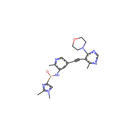 Cc1ncc(C#Cc2c(C)ncnc2N2CCOCC2)cc1N[S+]([O-])c1cn(C)c(C)n1